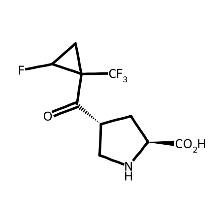 O=C(O)[C@@H]1C[C@@H](C(=O)C2(C(F)(F)F)CC2F)CN1